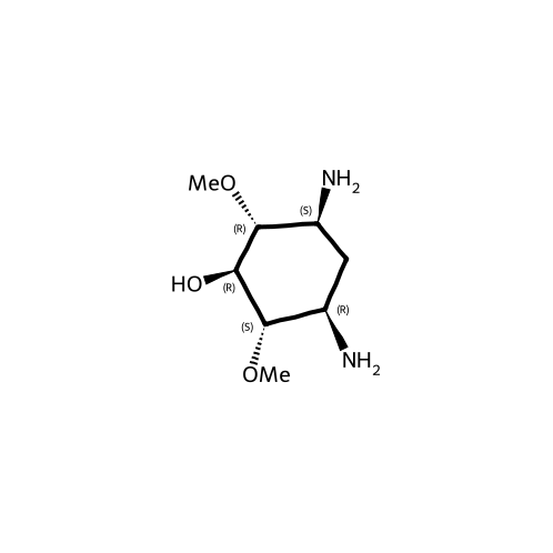 CO[C@@H]1[C@@H](O)[C@H](OC)[C@@H](N)C[C@H]1N